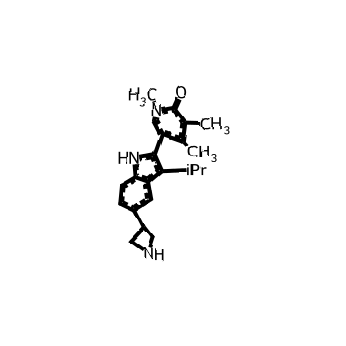 Cc1c(-c2[nH]c3ccc(C4CNC4)cc3c2C(C)C)cn(C)c(=O)c1C